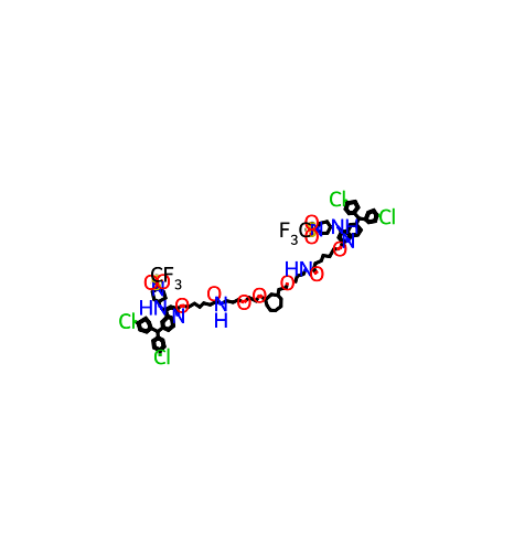 O=C(CCCCCOc1cc(NC2CCN(S(=O)(=O)C(F)(F)F)CC2)c2cc(C(c3ccc(Cl)cc3)c3ccc(Cl)cc3)ccc2n1)NCCCOCCOC1CCCCCC(CCOCCCNC(=O)CCCCCOc2cc(NC3CCN(S(=O)(=O)C(F)(F)F)CC3)c3cc(C(c4ccc(Cl)cc4)c4ccc(Cl)cc4)ccc3n2)C1